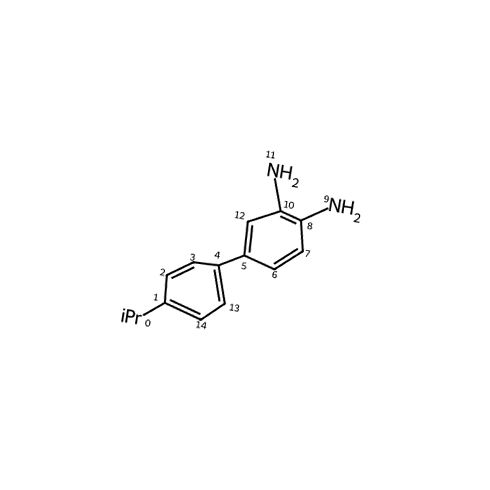 CC(C)c1ccc(-c2ccc(N)c(N)c2)cc1